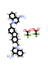 Nc1cc[n+](Cc2ccc3c(c2)Cc2cc(C[n+]4ccc(N)c5ccccc54)ccc2-3)c2ccccc12.O=C([O-])C(F)(F)F.O=C([O-])C(F)(F)F